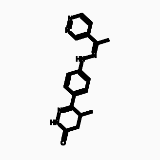 CC(=NNc1ccc(C2=NNC(=O)CC2C)cc1)c1ccnnc1